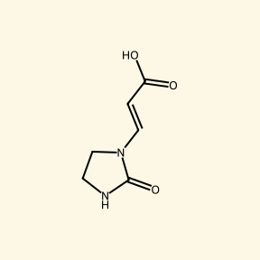 O=C(O)C=CN1CCNC1=O